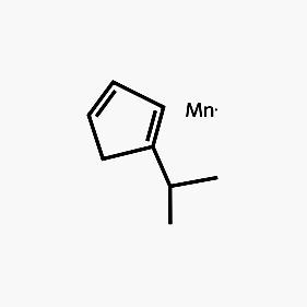 CC(C)C1=CC=CC1.[Mn]